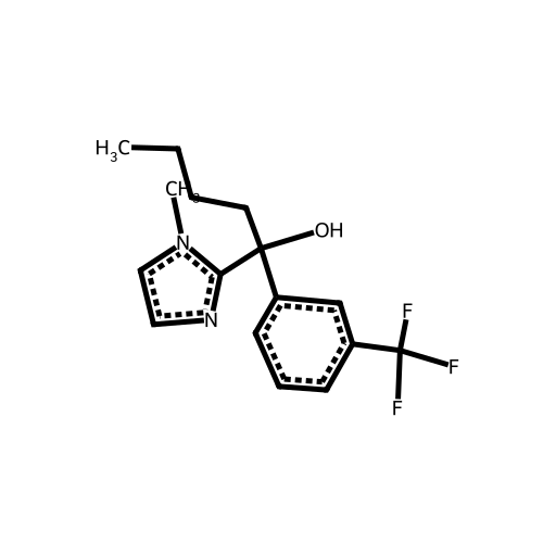 CCCCC(O)(c1cccc(C(F)(F)F)c1)c1nccn1C